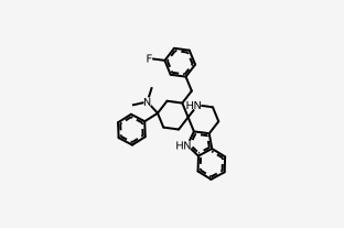 CN(C)C1(c2ccccc2)CCC2(NCCc3c2[nH]c2ccccc32)C(Cc2cccc(F)c2)C1